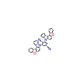 N#Cc1cc(-n2c3ccccc3c3c4c(ccc32)oc2ccccc24)c(C#N)c(-n2c3ccccc3c3c4c(ccc32)oc2ccccc24)c1